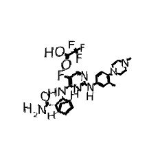 Cc1cc(Nc2ncc(F)c(N[C@H]3[C@@H](C(N)=O)[C@@H]4C=C[C@H]3C4)n2)ccc1N1CCN(C)CC1.O=C(O)C(F)(F)F